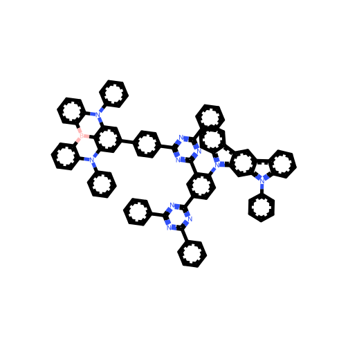 c1ccc(-c2nc(-c3ccccc3)nc(-c3ccc(-n4c5ccccc5c5cc6c7ccccc7n(-c7ccccc7)c6cc54)c(-c4nc(-c5ccccc5)nc(-c5ccc(-c6cc7c8c(c6)N(c6ccccc6)c6ccccc6B8c6ccccc6N7c6ccccc6)cc5)n4)c3)n2)cc1